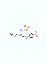 COCCOCCOc1ccc(I(=O)=O)cc1.NS(N)(=O)=O